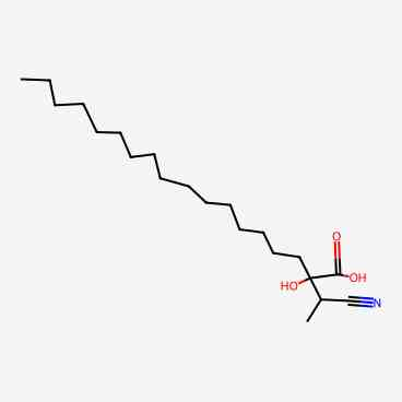 CCCCCCCCCCCCCCCCC(O)(C(=O)O)C(C)C#N